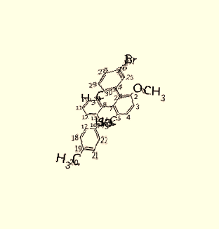 COc1ccc(C)c(-c2ccccc2[S@@+]([O-])c2ccc(C)cc2)c1-c1cc(Br)ccc1C